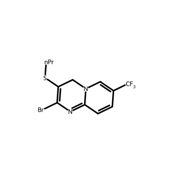 CCCSC1=C(Br)N=C2C=CC(C(F)(F)F)=CN2C1